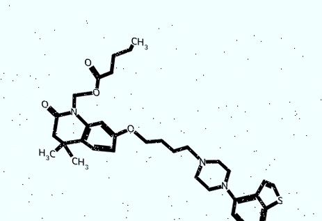 CCCCC(=O)OCN1C(=O)CC(C)(C)c2ccc(OCCCCN3CCN(c4cccc5sccc45)CC3)cc21